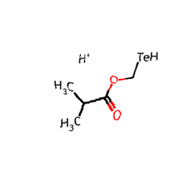 CC(C)C(=O)OC[TeH].[H+]